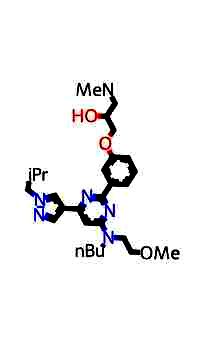 CCCCN(CCOC)c1cc(-c2cnn(CC(C)C)c2)nc(-c2cccc(OCC(O)CNC)c2)n1